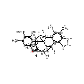 COc1c(C)cc2c(c1O)[C@H]1[C@@H]3[C@@H]4SC[C@H](NC(C)=O)C(=O)OC[C@@H](c5c6c(c(OC)c(OC(C)=O)c54)OCO6)N3[C@@H](O)[C@@H](C2)N1C